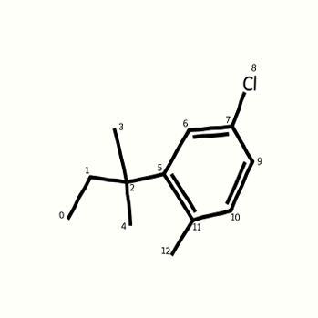 CCC(C)(C)c1cc(Cl)ccc1C